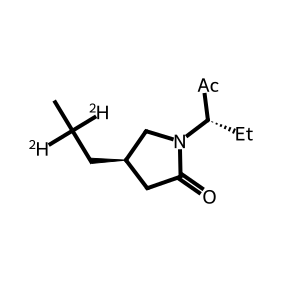 [2H]C([2H])(C)C[C@@H]1CC(=O)N([C@@H](CC)C(C)=O)C1